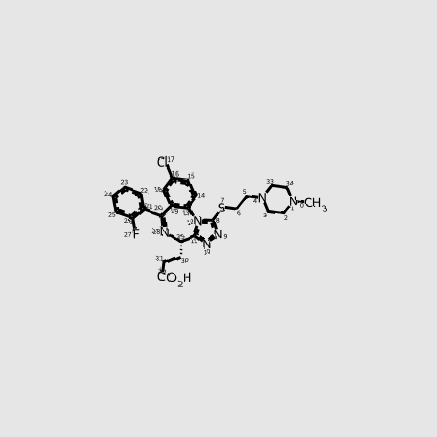 CN1CCN(CCSc2nnc3n2-c2ccc(Cl)cc2C(c2ccccc2F)=N[C@H]3CCC(=O)O)CC1